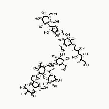 O=C(CO)[C@@H](O)[C@H](O)[C@H](O)CO[C@H]1O[C@H](CO)[C@@H](O)[C@H](O)[C@H]1O.OCC(O)CO.OC[C@H]1OC(O)[C@H](O)[C@@H](O)[C@@H]1O.OC[C@H]1O[C@@H](O[C@H]2[C@H](O)[C@@H](O)C(O)O[C@@H]2CO)[C@H](O)[C@@H](O)[C@H]1O.OC[C@H]1O[C@@](CO)(O[C@H]2O[C@H](CO)[C@@H](O)[C@H](O)[C@H]2O)[C@@H](O)[C@@H]1O.OC[C@H]1O[C@](O)(CO)[C@@H](O)[C@@H]1O